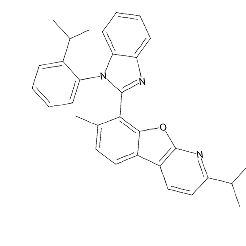 Cc1ccc2c(oc3nc(C(C)C)ccc32)c1-c1nc2ccccc2n1-c1ccccc1C(C)C